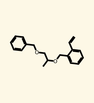 C=Cc1ccccc1COC(C)COCc1ccccc1